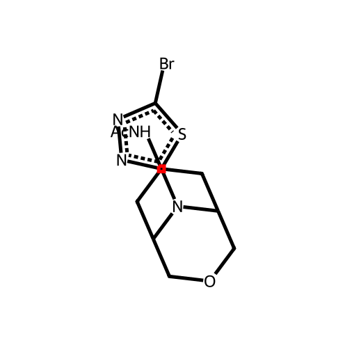 CC(=O)NC1CC2COCC(C1)N2c1nnc(Br)s1